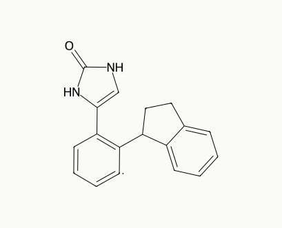 O=c1[nH]cc(-c2ccc[c]c2C2CCc3ccccc32)[nH]1